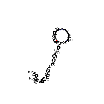 CO[C@H]1CC2CCCC(O2)C(=O)C(=O)N2CCCC[C@H]2C(=O)O[C@H](CC[C@H]2CC[C@H](OC(=O)NCc3cnc(N4CCN(C(=O)CCOCCN5CCN(c6ncc(C(=O)N7CCc8cc(Cn9nc(-c%10ccc%11oc(N)nc%11c%10)c%10c(N)ncnc%109)ccc8C7)cn6)CC5)CC4)nc3)CC2)CC[C@H](C)/C=C(\C)[C@@H](O)[C@@H](OC)C(=O)[C@H](C)C[C@H](C)/C=C/C=C/C=C/1C